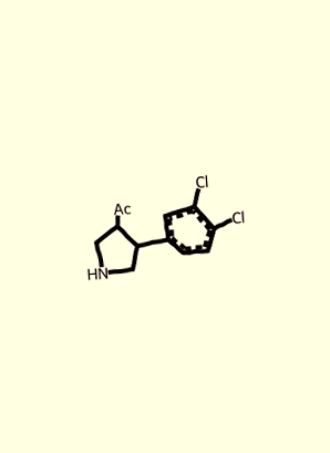 CC(=O)C1CNCC1c1ccc(Cl)c(Cl)c1